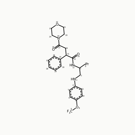 CC(C)C(CNc1ccc(OC(F)(F)F)cc1)NC(=O)C(CC(=O)N1CCOCC1)c1ccccc1